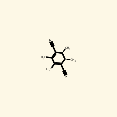 CC1=C(C#N)[C@@H](C)[C@@H](C)C(C#N)=C1C